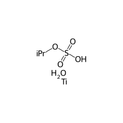 CC(C)OS(=O)(=O)O.O.[Ti]